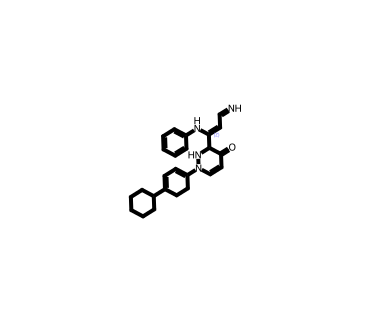 N=C/C=C(\Nc1ccccc1)C1NN(C2=CC=C(C3CCCCC3)CC2)C=CC1=O